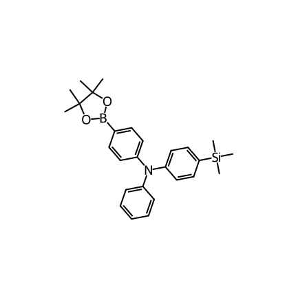 CC1(C)OB(c2ccc(N(c3ccccc3)c3ccc([Si](C)(C)C)cc3)cc2)OC1(C)C